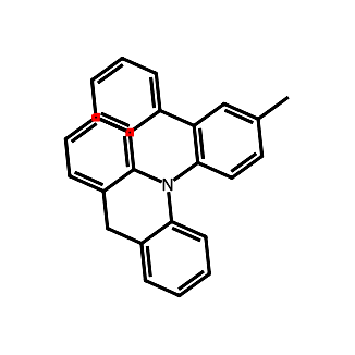 Cc1ccc(N2c3ccccc3Cc3ccccc32)c(-c2ccccc2)c1